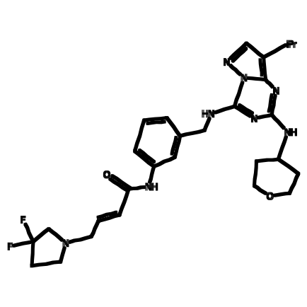 CC(C)c1cnn2c(NCc3cccc(NC(=O)/C=C/CN4CCC(F)(F)C4)c3)nc(NC3CCOCC3)nc12